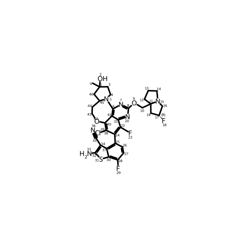 CC1(O)CCN2c3nc(OCC45CCCN4C[C@H](F)C5)nc4c(F)c(-c5ccc(F)c6sc(N)c(C#N)c56)c(Cl)c(c34)OCCC2C1